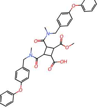 COC(=O)C1C(C(=O)O)C(C(=O)N(C)Cc2ccc(Oc3ccccc3)cc2)C1C(=O)N(C)Cc1ccc(Oc2ccccc2)cc1